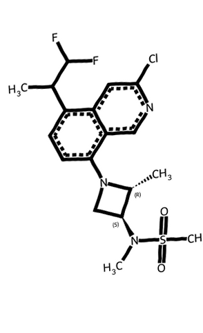 CC(c1ccc(N2C[C@H](N(C)S(C)(=O)=O)[C@H]2C)c2cnc(Cl)cc12)C(F)F